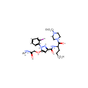 CCOC(=O)N1CCN(C(=O)C(CCC(=O)O)NC(=O)c2cc(OCC(=O)NC(C)C)n(-c3ccccc3I)n2)CC1